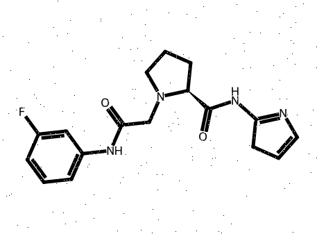 O=C(CN1CCC[C@H]1C(=O)NC1=NC=CC1)Nc1cccc(F)c1